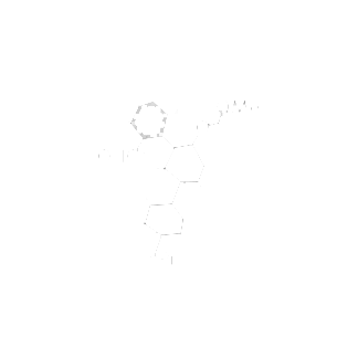 CCCC1CCC(C2CCC(OCOC)C(c3ccccc3C=O)C2)CC1